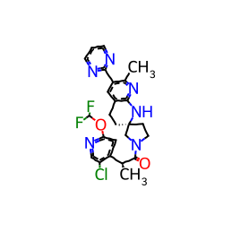 Cc1nc2c(cc1-c1ncccn1)CC[C@@]1(CCN(C(=O)[C@@H](C)c3cc(OC(F)F)ncc3Cl)C1)N2